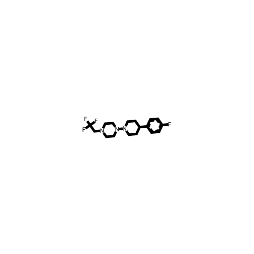 Fc1ccc(C2CCN(N3CCN(CC(F)(F)F)CC3)CC2)cc1